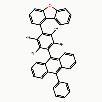 [2H]c1c([2H])c(-c2cccc3oc4ccccc4c23)c([2H])c([2H])c1-c1c2ccccc2c(-c2ccccc2)c2ccccc12